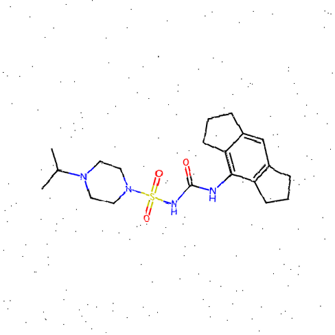 CC(C)N1CCN(S(=O)(=O)NC(=O)Nc2c3c(cc4c2CCC4)CCC3)CC1